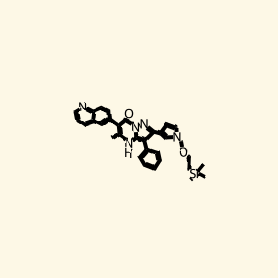 Cc1[nH]c2c(-c3ccccc3)c(-c3ccn(COCC[Si](C)(C)C)c3)nn2c(=O)c1-c1ccc2ncccc2c1